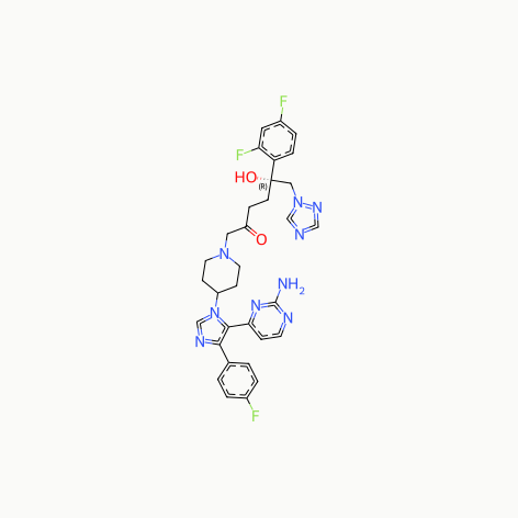 Nc1nccc(-c2c(-c3ccc(F)cc3)ncn2C2CCN(CC(=O)CC[C@](O)(Cn3cncn3)c3ccc(F)cc3F)CC2)n1